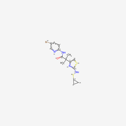 CC(C)(C(=O)Nc1ccc(Br)cn1)c1csc(NSC2CC2)n1